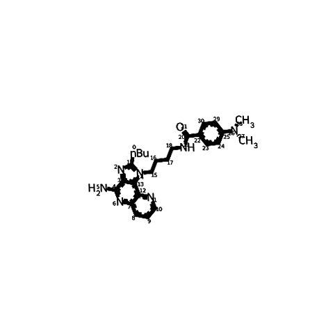 CCCCc1nc2c(N)nc3cccnc3c2n1CCCCNC(=O)c1ccc(N(C)C)cc1